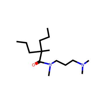 CCCC(C)(CCC)C(=O)N(C)CCCN(C)C